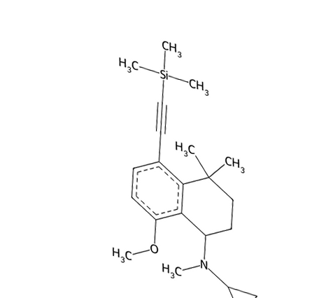 COc1ccc(C#C[Si](C)(C)C)c2c1C(N(C)C1CC1)CCC2(C)C